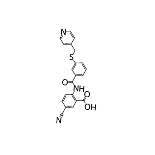 N#Cc1ccc(NC(=O)c2cccc(SCc3ccncc3)c2)c(C(=O)O)c1